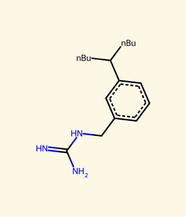 CCCCC(CCCC)c1cccc(CNC(=N)N)c1